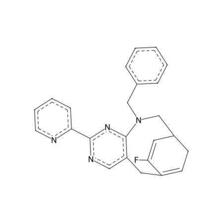 FC1=CC2CC=C1Cc1cnc(-c3ccccn3)nc1N(Cc1ccccc1)C2